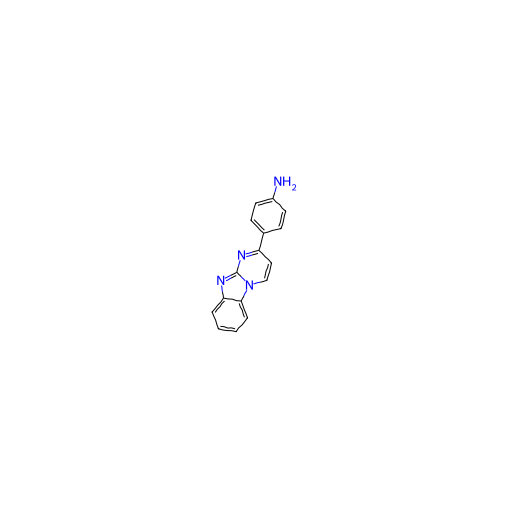 Nc1ccc(-c2ccn3c(n2)nc2ccccc23)cc1